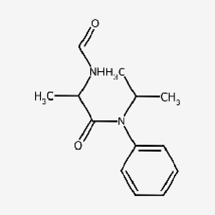 CC(NC=O)C(=O)N(c1ccccc1)C(C)C